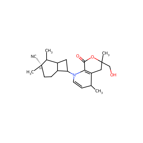 CC1C=CN(C2CC3C2CC[C@](C)(C#N)C3C)C2=C1CC(C)(CO)OC2=O